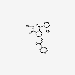 CC(C)(C)OC(=O)N1CC(OC(=O)c2cccnc2)CC1C(=O)N1CCC[C@H]1C#N